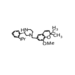 COc1cc(CN2CCN[C@H](c3ccccc3C(C)C)C2)cc2c1OC(C)(C)C=C2